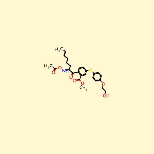 CCCCCC/C(=N\OC(C)=O)C(=O)c1ccc(Sc2ccc(OCCO)cc2)cc1C(=O)OC